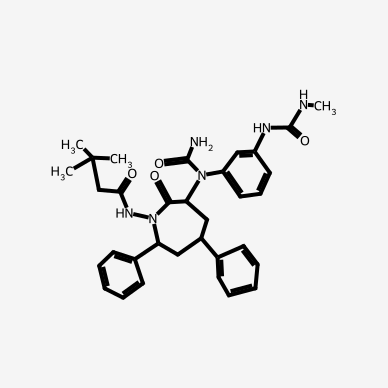 CNC(=O)Nc1cccc(N(C(N)=O)C2CC(c3ccccc3)CC(c3ccccc3)N(NC(=O)CC(C)(C)C)C2=O)c1